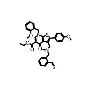 CCOC(=O)c1cn(Cc2ccccc2OC)c2sc(-c3ccc(OC)cc3)c(CN(C)Cc3ccccc3C=S)c2c1=O